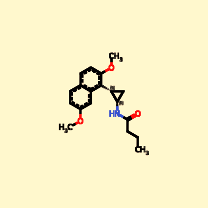 CCCC(=O)N[C@@H]1C[C@H]1c1c(OC)ccc2ccc(OC)cc12